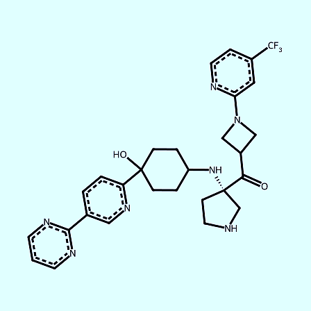 O=C(C1CN(c2cc(C(F)(F)F)ccn2)C1)[C@]1(NC2CCC(O)(c3ccc(-c4ncccn4)cn3)CC2)CCNC1